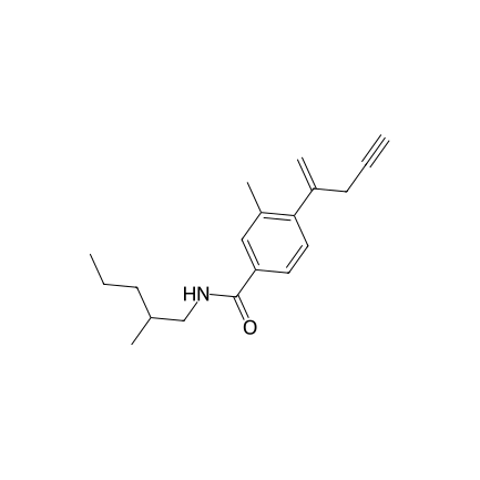 C#CCC(=C)c1ccc(C(=O)NCC(C)CCC)cc1C